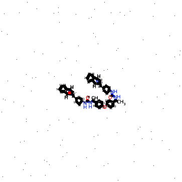 CC(NC(=O)N[C@H]1CC[C@H](CCN2[C@@H]3CC[C@H]2c2ccccc23)CC1)c1ccc(Oc2ccc(C(C)NC(=O)N[C@H]3CC[C@H](CCN4[C@@H]5CC[C@H]4c4ccccc45)CC3)cc2)cc1